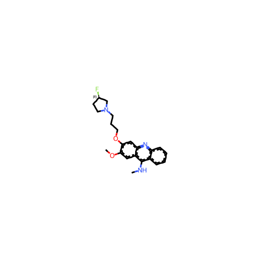 CNc1c2ccccc2nc2cc(OCCCN3CC[C@@H](F)C3)c(OC)cc12